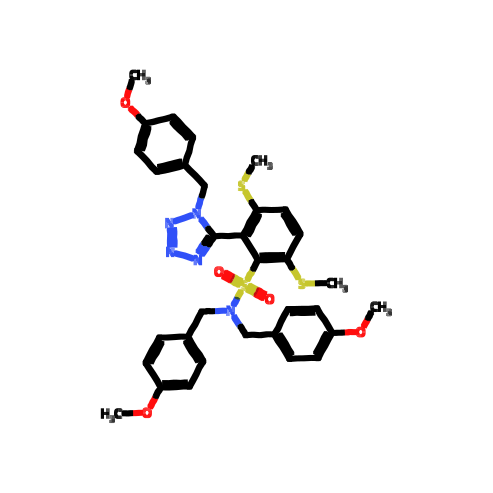 COc1ccc(CN(Cc2ccc(OC)cc2)S(=O)(=O)c2c(SC)ccc(SC)c2-c2nnnn2Cc2ccc(OC)cc2)cc1